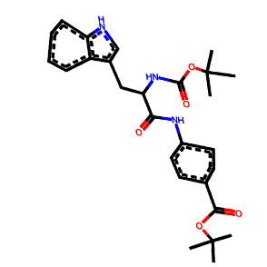 CC(C)(C)OC(=O)NC(Cc1c[nH]c2ccccc12)C(=O)Nc1ccc(C(=O)OC(C)(C)C)cc1